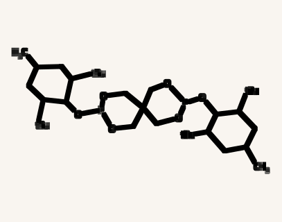 CC1CC(C(C)(C)C)C(OP2OCC3(CO2)COP(OC2C(C(C)(C)C)CC(C)CC2C(C)(C)C)OC3)C(C(C)(C)C)C1